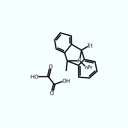 CCCN1C2(C)c3ccccc3C1(CC)c1ccccc12.O=C(O)C(=O)O